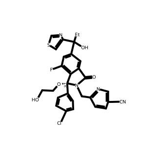 CCC(O)(c1cc(F)c2c(c1)C(=O)N(Cc1ccc(C#N)cn1)[C@@]2(OCCO)c1ccc(Cl)cc1)c1cscn1